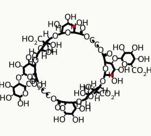 O=C(O)C1O[C@@H](O)[C@H](O)[C@@H](O)[C@@H]1O[C@@H]1O[C@@H]2C(=O)OCCOC(=O)C3O[C@@H](O)[C@H](O)[C@@H](O)[C@@H]3O[C@@H]3O[C@H](C(=O)O)[C@@H](O[C@@H]4OC(C(=O)OCCOC(=O)[C@H]5O[C@@H](O[C@@H]6C(C(=O)O)O[C@@H](O[C@H]2[C@H](O)[C@H]1O)[C@H](O)[C@H]6O)[C@H](O)[C@@H](O)[C@@H]5O)[C@@H](O[C@@H]1O[C@H](C(=O)O)[C@@H](O)[C@H](O)[C@H]1O)[C@H](O)[C@H]4O)[C@H](O)[C@H]3O